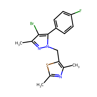 Cc1nc(C)c(Cn2nc(C)c(Br)c2-c2ccc(F)cc2)s1